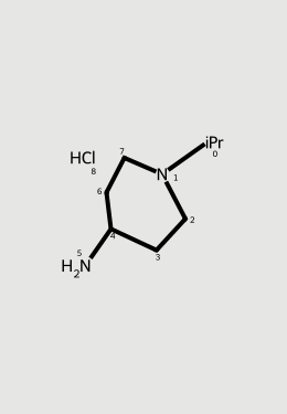 CC(C)N1CCC(N)CC1.Cl